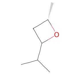 CC(C)C1C[C@H](C)O1